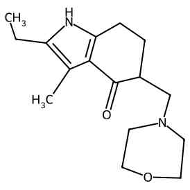 CCc1[nH]c2c(c1C)C(=O)C(CN1CCOCC1)CC2